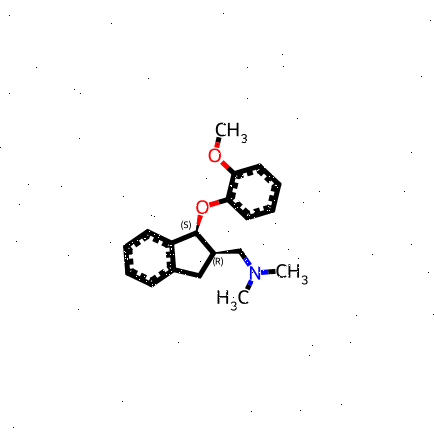 COc1ccccc1O[C@@H]1c2ccccc2C[C@@H]1CN(C)C